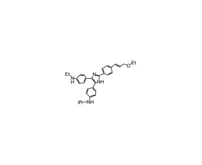 CCNc1ccc(-c2nc(-c3ccc(/C=C/COCC)cc3)[nH]c2-c2ccc(NC(C)C)cc2)cc1